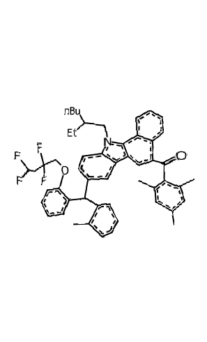 CCCCC(CC)Cn1c2ccc(C(c3ccccc3C)c3ccccc3OCC(F)(F)C(F)F)cc2c2cc(C(=O)c3c(C)cc(C)cc3C)c3ccccc3c21